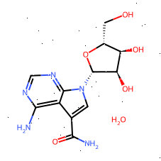 NC(=O)c1cn([C@@H]2O[C@H](CO)[C@@H](O)[C@H]2O)c2ncnc(N)c12.O